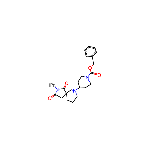 CC(C)N1C(=O)CC2(CCCN(C3CCN(C(=O)OCc4ccccc4)CC3)C2)C1=O